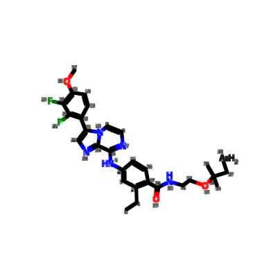 CCc1cc(Nc2nccn3c(-c4ccc(OC)c(F)c4F)cnc23)ccc1C(=O)NCCOC(C)(C)C[AsH2]